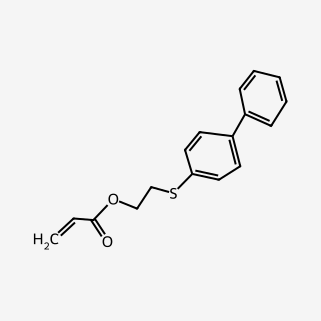 C=CC(=O)OCCSc1ccc(-c2ccccc2)cc1